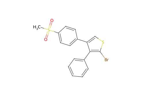 CS(=O)(=O)c1ccc(-c2csc(Br)c2-c2ccccc2)cc1